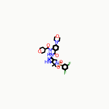 CC1(C)c2[nH]nc(NC(=O)c3ccc(N4CCOCC4)cc3NC(=O)C3CCOCC3)c2CN1S(=O)(=O)c1cc(F)cc(F)c1